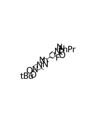 CCCn1ncn(-c2ccc(-c3cnc(N4CCN(C(=O)OC(C)(C)C)CC4C)nc3)cc2F)c1=O